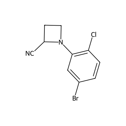 N#CC1CCN1c1cc(Br)ccc1Cl